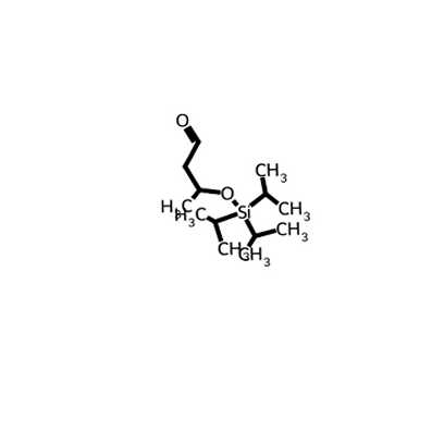 CC(CC=O)O[Si](C(C)C)(C(C)C)C(C)C